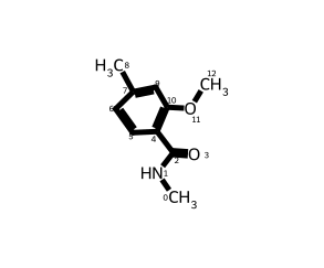 CNC(=O)c1ccc(C)cc1OC